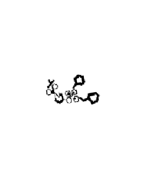 CC(C)(C)OC(=O)N1CC[C@@H](OP(=O)(OCCc2ccccc2)OCc2ccccc2)C1